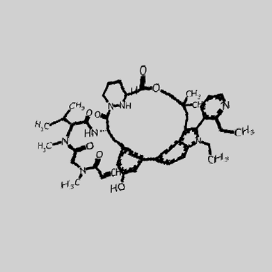 C=CC(=O)N(C)CC(=O)N(C)[C@H](C(=O)N[C@H]1Cc2cc(O)cc(c2)-c2ccc3c(c2)c(c(-c2cccnc2CC)n3CC)CC(C)(C)COC(=O)[C@@H]2CCCN(N2)C1=O)C(C)C